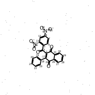 O=C1C(C(=O)c2ccc([N+](=O)[O-])cc2[N+](=O)[O-])=C(c2ccccc2)C(=O)c2ccccc21